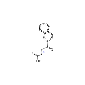 O=C(O)/C=C/C(=O)c1ccc2ccccc2c1